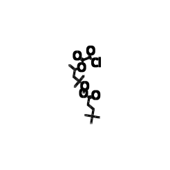 CC(CC(C)(C)OOC(=O)CCC(C)(C)C)OC(=O)C(=O)Cl